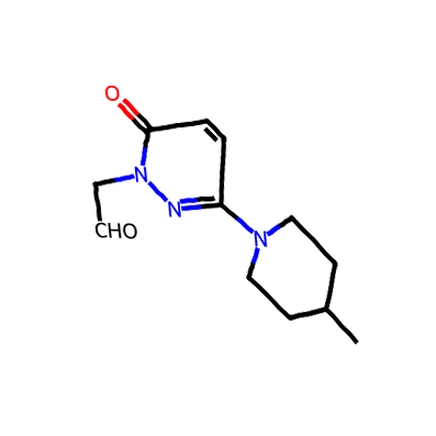 CC1CCN(c2ccc(=O)n(CC=O)n2)CC1